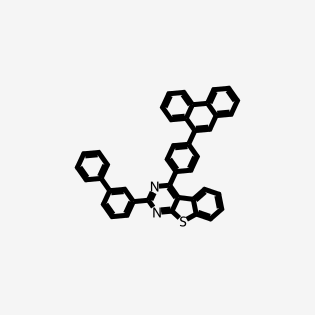 c1ccc(-c2cccc(-c3nc(-c4ccc(-c5cc6ccccc6c6ccccc56)cc4)c4c(n3)sc3ccccc34)c2)cc1